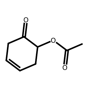 CC(=O)OC1CC=CCC1=O